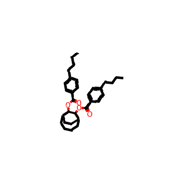 CCCCc1ccc(C(=O)OC2C3CCCCC(CC3)C2OC(=O)c2ccc(CCCC)cc2)cc1